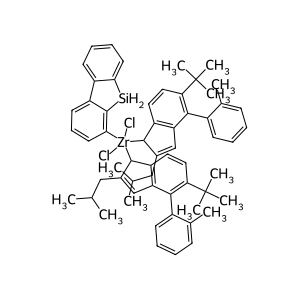 Cc1ccccc1-c1c(C(C)(C)C)ccc2c1C=C(CC(C)C)[CH]2[Zr]([Cl])([Cl])([c]1cccc2c1[SiH2]c1ccccc1-2)[CH]1C(CC(C)C)=Cc2c1ccc(C(C)(C)C)c2-c1ccccc1C